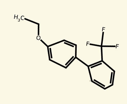 CCOc1ccc(-c2[c]cccc2C(F)(F)F)cc1